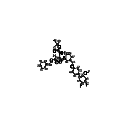 COc1cc(F)c(F)cc1-c1ccc(OCC2CCCN(C(=O)[C@@H](CC(=O)OCc3ccccc3)NC(=O)OC(C)(C)C)C2)cc1